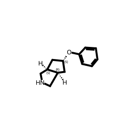 c1ccc(O[C@@H]2C[C@H]3CNC[C@H]3C2)cc1